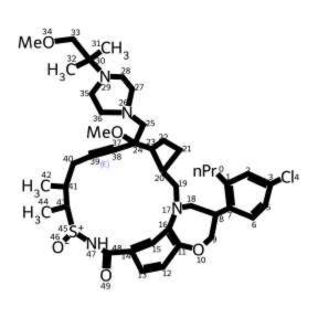 CCCc1cc(Cl)ccc1C1COc2ccc3cc2N(C1)CC1CCC1C(CN1CCN(C(C)(C)COC)CC1)(OC)/C=C/CC(C)C(C)[S+]([O-])NC3=O